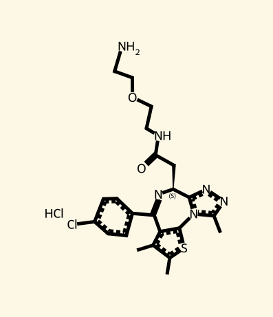 Cc1sc2c(c1C)C(c1ccc(Cl)cc1)=N[C@@H](CC(=O)NCCOCCN)c1nnc(C)n1-2.Cl